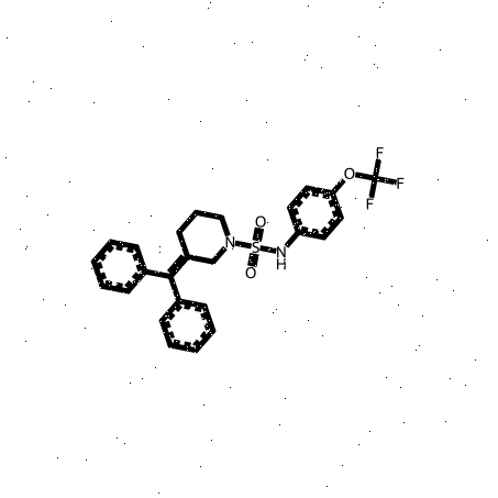 O=S(=O)(Nc1ccc(OC(F)(F)F)cc1)N1CCCC(=C(c2ccccc2)c2ccccc2)C1